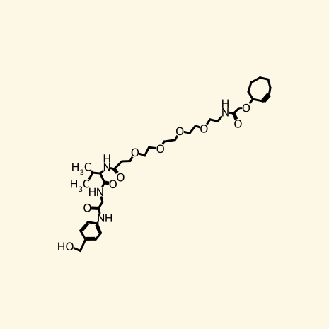 CC(C)C(NC(=O)CCOCCOCCOCCOCCNC(=O)COC1C#CCCCCC1)C(=O)NCC(=O)Nc1ccc(CO)cc1